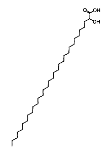 CCCCCCCCCCCCCCCCCCCCCCCCCCCCCCC(O)C(=O)O